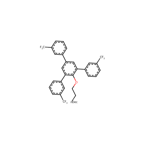 CCCCCCCCCCCCOc1c(-c2cccc(C(F)(F)F)c2)cc(-c2cccc(C(F)(F)F)c2)cc1-c1cccc(C(F)(F)F)c1